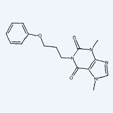 Cn1cnc2c1c(=O)n(CCCOc1ccccc1)c(=O)n2C